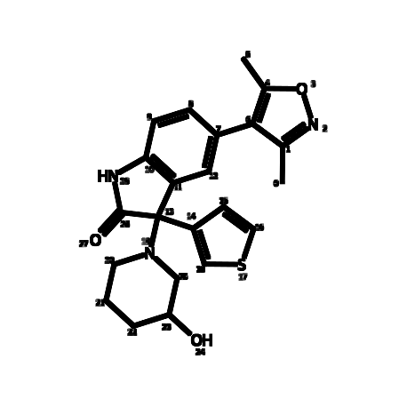 Cc1noc(C)c1-c1ccc2c(c1)C(c1ccsc1)(N1CCCC(O)C1)C(=O)N2